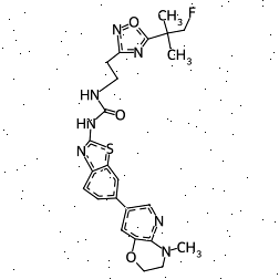 CN1CCOc2cc(-c3ccc4nc(NC(=O)NCCc5noc(C(C)(C)CF)n5)sc4c3)cnc21